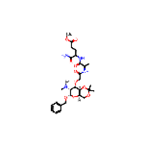 CC(=O)N(C)[C@H]1[C@@H](OCc2ccccc2)O[C@@H]2COC(C)(C)O[C@H]2[C@@H]1OCC(=O)NC(C)C(=O)NC(CCC(=O)OC(C)(C)C)C(N)=O